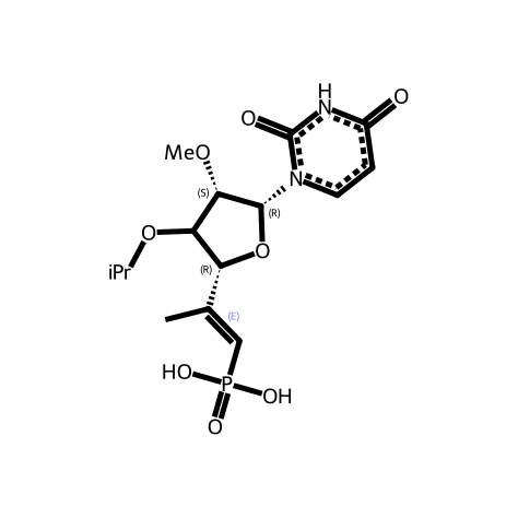 CO[C@H]1C(OC(C)C)[C@@H](/C(C)=C/P(=O)(O)O)O[C@H]1n1ccc(=O)[nH]c1=O